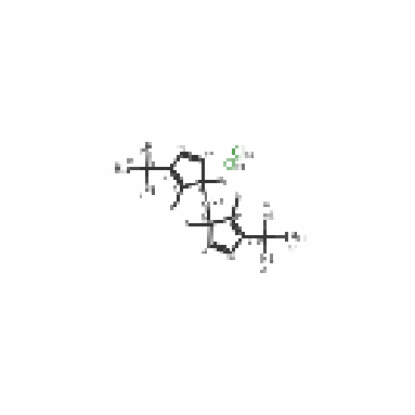 CCC(CC)(C1=C(C)[C](C)([Zr+2][C]2(C)C=CC(C(CC)(CC)C(C)(C)C)=C2C)C=C1)C(C)(C)C.[Cl-].[Cl-]